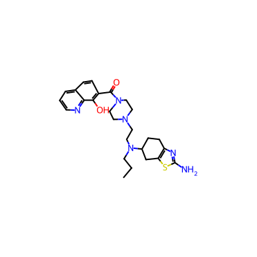 CCCN(CCN1CCN(C(=O)c2ccc3cccnc3c2O)CC1)C1CCc2nc(N)sc2C1